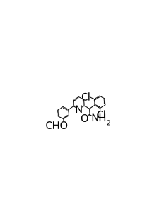 NC(=O)C(c1cccc(-c2cccc(C=O)c2)n1)c1c(Cl)cccc1Cl